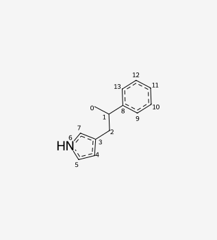 CC(Cc1cc[nH]c1)c1ccccc1